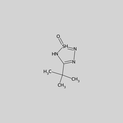 CC(C)(C)C1=NN=[SH](=O)N1